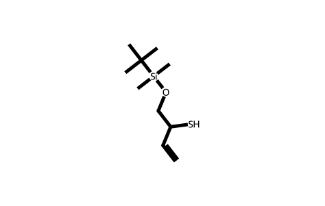 C=CC(S)CO[Si](C)(C)C(C)(C)C